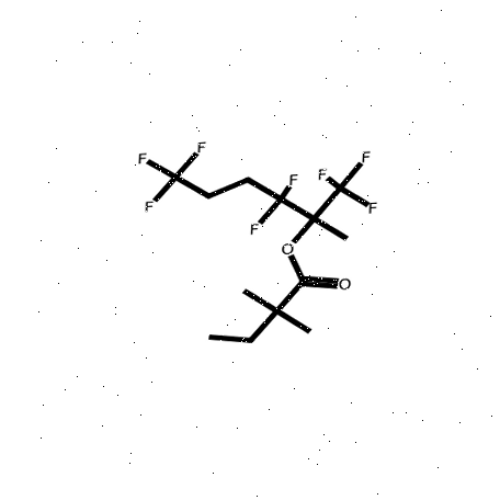 CCC(C)(C)C(=O)OC(C)(C(F)(F)F)C(F)(F)CCC(F)(F)F